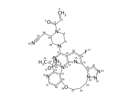 C=CC(=O)N1CCN(c2nc(=O)n3c4nc(c(F)cc24)-c2cnnn2CCCOc2ccnc(C(C)C)c2-3)CC1CC#N